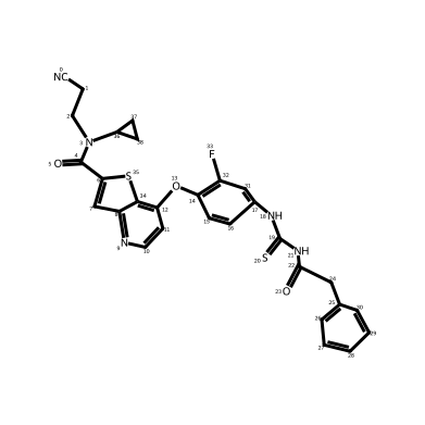 N#CCCN(C(=O)c1cc2nccc(Oc3ccc(NC(=S)NC(=O)Cc4ccccc4)cc3F)c2s1)C1CC1